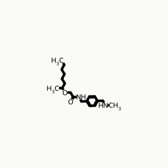 CCCCCCC(C)OCC(=O)NCc1ccc(CNC)cc1